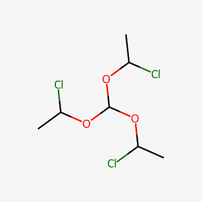 CC(Cl)OC(OC(C)Cl)OC(C)Cl